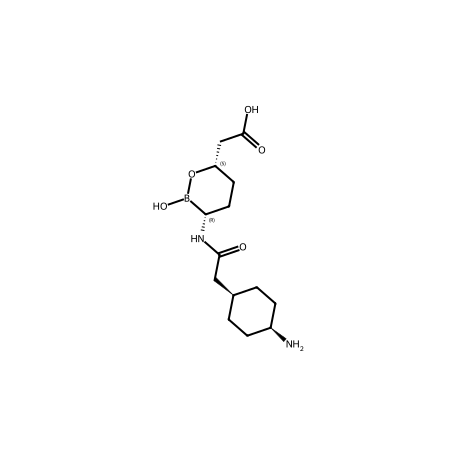 N[C@H]1CC[C@@H](CC(=O)N[C@H]2CC[C@@H](CC(=O)O)OB2O)CC1